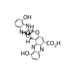 O=C(O)c1cc2c(c3nc4c(O)cccc4nc13)[C@@H]1Cc3nc4cccc(O)c4nc3[C@H](O2)[C@@H]1O